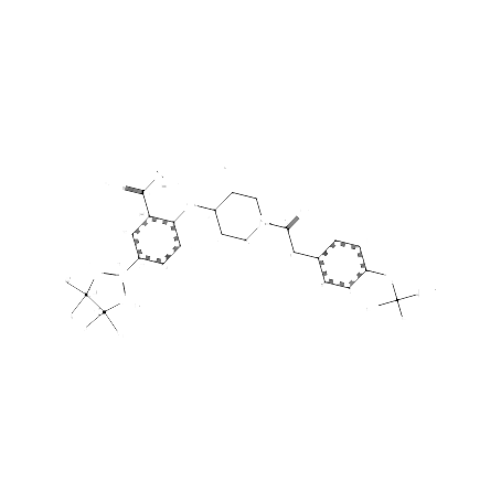 C[C@@H]1CN(C(=O)Cc2ccc(OC(F)(F)F)cc2)CCC1Oc1ccc(B2OC(C)(C)C(C)(C)O2)cc1C(N)=O